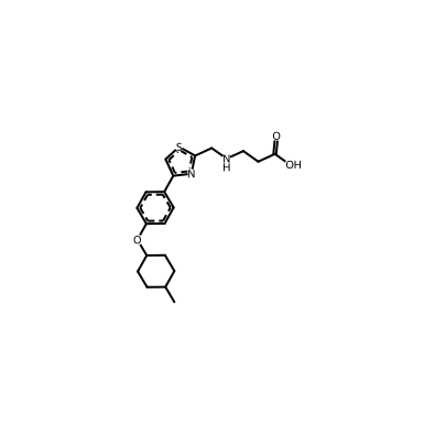 CC1CCC(Oc2ccc(-c3csc(CNCCC(=O)O)n3)cc2)CC1